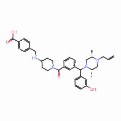 C=CCN1C[C@H](C)N(C(c2cccc(O)c2)c2cccc(C(=O)N3CCC(NCc4ccc(C(=O)O)cc4)CC3)c2)C[C@H]1C